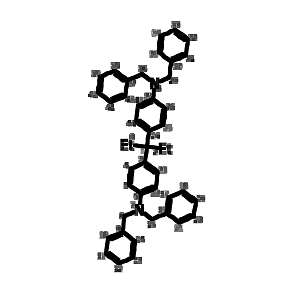 CCC(CC)(c1ccc(N(Cc2ccccc2)Cc2ccccc2)cc1)c1ccc(N(Cc2ccccc2)Cc2ccccc2)cc1